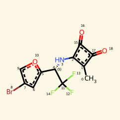 Cc1c(N[C@@H](c2cc(Br)co2)C(F)(F)F)c(=O)c1=O